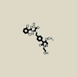 COc1cnn(CCO)c(=O)c1-c1ccc(CC[C@H](NC(=O)c2c(Cl)cccc2Cl)C(=O)O)cc1